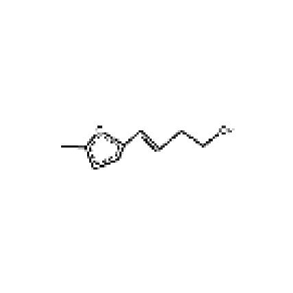 Cc1ccc(C=CCCO)o1